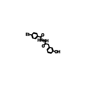 CCc1ccc(C(=O)NNC(=O)Cc2cccc(O)c2)cc1